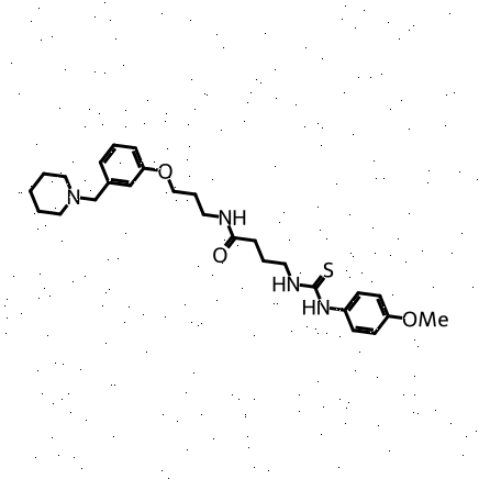 COc1ccc(NC(=S)NCCCC(=O)NCCCOc2cccc(CN3CCCCC3)c2)cc1